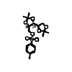 Cc1ccc(S(=O)(=O)OC[C@H]2OC(C)(C)O[C@@H]2[C@H]2COC(C)(C)O2)cc1